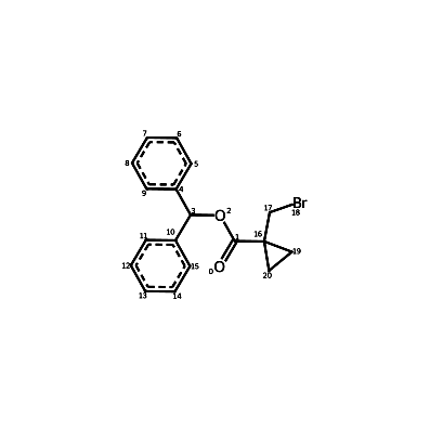 O=C(OC(c1ccccc1)c1ccccc1)C1(CBr)CC1